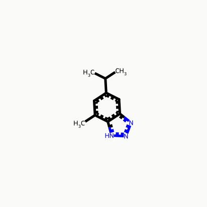 Cc1cc(C(C)C)cc2nn[nH]c12